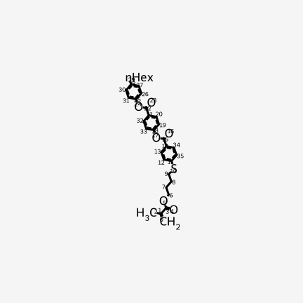 C=C(C)C(=O)OCCCCSc1ccc(C(=O)Oc2ccc(C(=O)Oc3ccc(CCCCCC)cc3)cc2)cc1